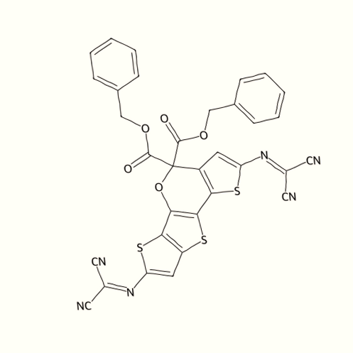 N#CC(C#N)=Nc1cc2c(s1)-c1sc3cc(N=C(C#N)C#N)sc3c1OC2(C(=O)OCc1ccccc1)C(=O)OCc1ccccc1